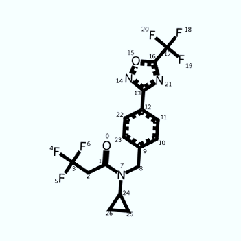 O=C(CC(F)(F)F)N(Cc1ccc(-c2noc(C(F)(F)F)n2)cc1)C1CC1